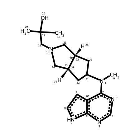 CN(c1ncnc2[nH]ccc12)C1C[C@@H]2CN(CC(C)(C)O)C[C@@H]2C1